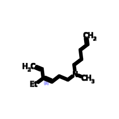 C=CCCCN(C)CC/C=C(\C=C)CC